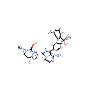 CN1CC[C@@H]2CC[C@@H](c3nc(-c4ccc([C@@](C)(O)c5cccc(C(F)(F)F)c5)cc4)c4c(N)nccn34)CN2C1=O